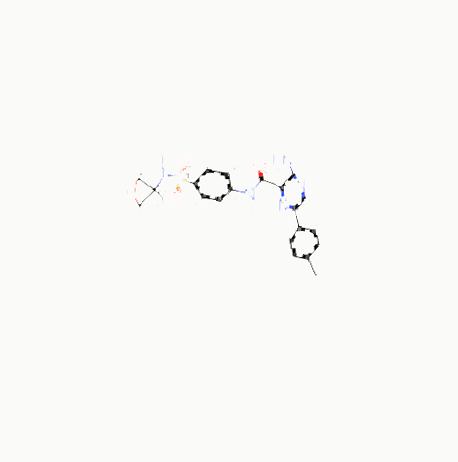 Cc1ccc(-c2cnc(N)c(C(=O)Nc3ccc(S(=O)(=O)NC4(C)COC4)cc3)n2)cc1